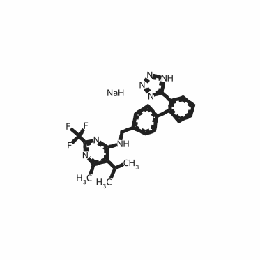 Cc1nc(C(F)(F)F)nc(NCc2ccc(-c3ccccc3-c3nnn[nH]3)cc2)c1C(C)C.[NaH]